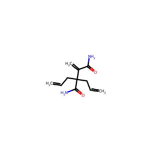 C=CCC(CC=C)(C(=C)C(N)=O)C(N)=O